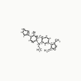 CCN(c1cc(Br)c(-n2ccnn2)cn1)c1cc(-c2c(C)noc2C)ccc1C